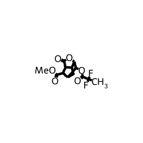 COC(=O)C1C2CC3C(OC(=O)C31)C2OC(=O)C(C)(F)F